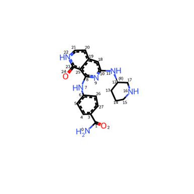 NC(=O)c1ccc(Nc2nc(N[C@@H]3CCCNC3)cc3cc[nH]c(=O)c23)cc1